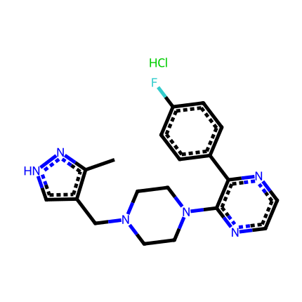 Cc1n[nH]cc1CN1CCN(c2nccnc2-c2ccc(F)cc2)CC1.Cl